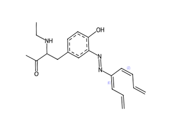 C=C/C=C\C(=C/C=C)N=Nc1cc(CC(NCC)C(C)=O)ccc1O